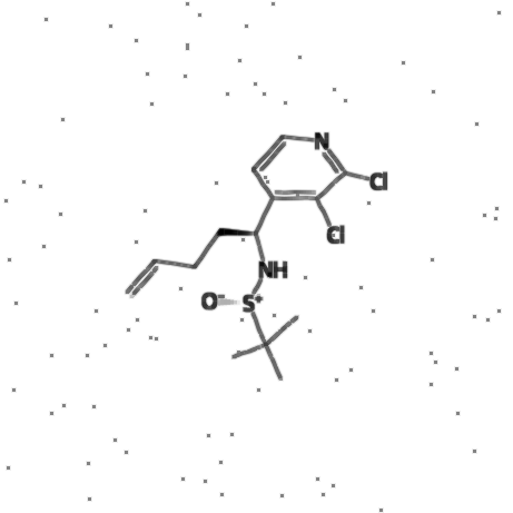 C=CCC[C@H](N[S@@+]([O-])C(C)(C)C)c1ccnc(Cl)c1Cl